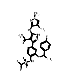 Cc1cn(C)nc1Nc1[nH]nc(-c2ccc(NS(=O)(=O)C(F)F)c(OC(C)c3ccc(F)cc3)c2)c1C(N)=O